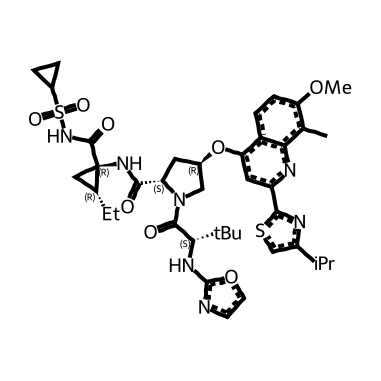 CC[C@@H]1C[C@]1(NC(=O)[C@@H]1C[C@@H](Oc2cc(-c3nc(C(C)C)cs3)nc3c(C)c(OC)ccc23)CN1C(=O)[C@@H](Nc1ncco1)C(C)(C)C)C(=O)NS(=O)(=O)C1CC1